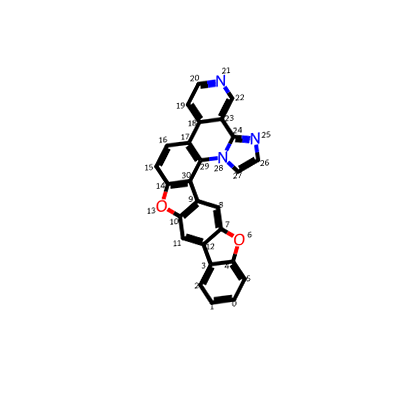 c1ccc2c(c1)oc1cc3c(cc12)oc1ccc2c4ccncc4c4nccn4c2c13